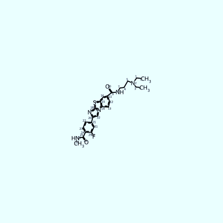 CCN(CC)CCCNC(=O)c1ccc2c(c1)sc1nc(-c3ccc(C(=O)NC)c(F)c3)cn12